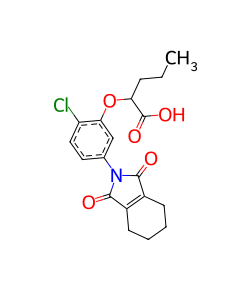 CCCC(Oc1cc(N2C(=O)C3=C(CCCC3)C2=O)ccc1Cl)C(=O)O